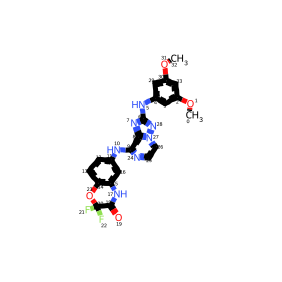 COc1cc(Nc2nc3c(Nc4ccc5c(c4)NC(=O)C(F)(F)O5)nccn3n2)cc(OC)c1